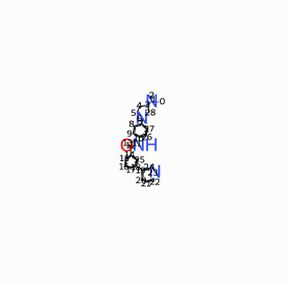 CN(C)C1CCN(c2ccc(NC(=O)c3cccc(-c4cccnc4)c3)cc2)C1